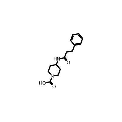 O=C(CCc1ccccc1)NC1CCN(C(=O)O)CC1